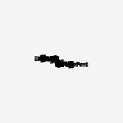 CCCCCc1ccc(CCc2cc3ccc4c(c3s2)-c2ccc3cc(CCc5ccc(CC)cc5)sc3c2-4)cc1